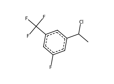 CC(Cl)c1cc(F)cc(C(F)(F)F)c1